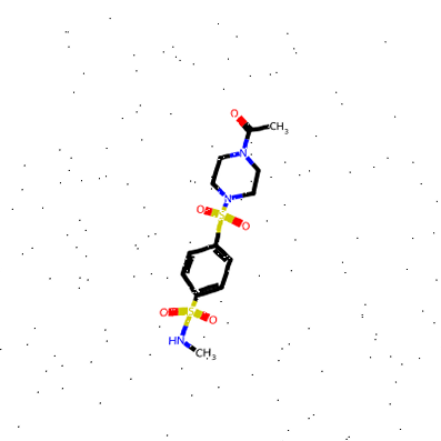 CNS(=O)(=O)c1ccc(S(=O)(=O)N2CCN(C(C)=O)CC2)cc1